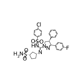 NS(=O)(=O)[C@H]1CC[C@@H](/N=C(\NS(=O)(=O)c2ccc(Cl)cc2)N2C[C@@H](c3ccccc3)C(c3ccc(F)cc3)=N2)C1